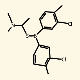 Cc1ccc(B(SC(C)N(C)C)c2ccc(C)c(Cl)c2)cc1Cl